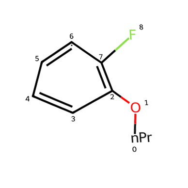 CCCOc1ccc[c]c1F